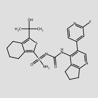 CC(C)(O)c1sc(S(N)(=O)=NC(=O)Nc2c(-c3ccnc(F)c3)cnc3c2CCC3)c2c1CCCC2